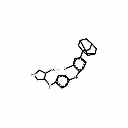 O=C(O)C1CNCC1Nc1ccc(Nc2ccc(C34CC5CC(CC(C5)C3)C4)cc2Cl)cc1